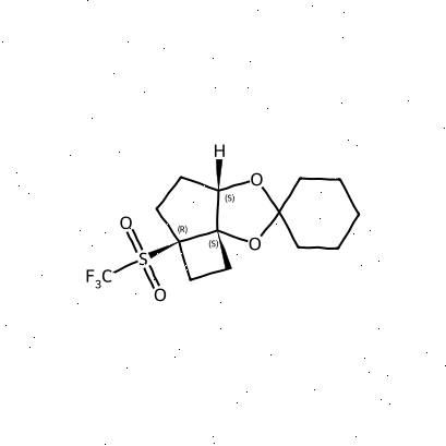 O=S(=O)(C(F)(F)F)[C@@]12CC[C@@H]3OC4(CCCCC4)O[C@@]31CC2